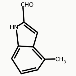 Cc1cccc2[nH]c(C=O)cc12